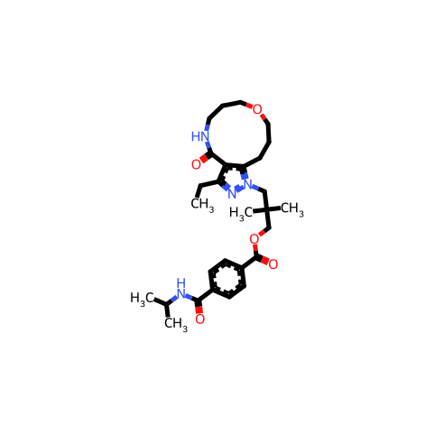 CCc1nn(CC(C)(C)COC(=O)c2ccc(C(=O)NC(C)C)cc2)c2c1C(=O)NCCCOCCC2